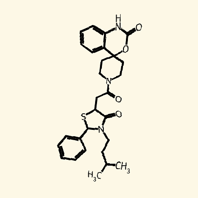 CC(C)CCN1C(=O)C(CC(=O)N2CCC3(CC2)OC(=O)Nc2ccccc23)SC1c1ccccc1